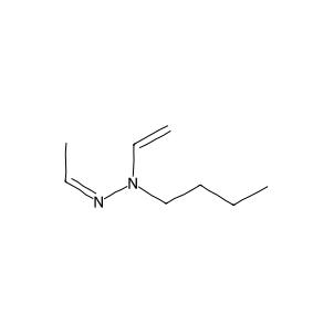 C=CN(CCCC)/N=C\C